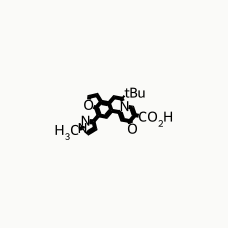 Cn1ccc(-c2cc3c(c4c2OCC4)C[C@@H](C(C)(C)C)n2cc(C(=O)O)c(=O)cc2-3)n1